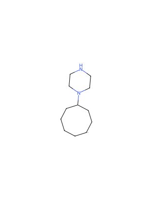 [CH]1CCCCC(N2CCNCC2)CC1